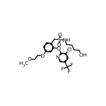 COCCOc1ccc(CS(=O)(=O)NCCCCO)c(Oc2ncc(C(F)(F)F)cc2Cl)c1